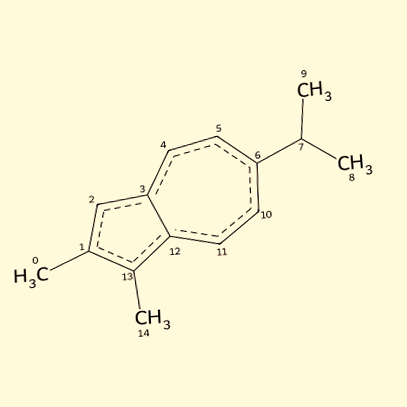 Cc1cc2ccc(C(C)C)ccc-2c1C